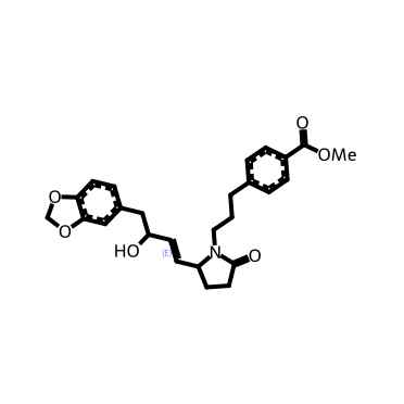 COC(=O)c1ccc(CCCN2C(=O)CCC2/C=C/C(O)Cc2ccc3c(c2)OCO3)cc1